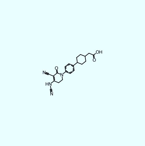 N#CNC1=C(C#N)C(=O)N(c2ccc(C3CCC(CC(=O)O)CC3)cc2)CC1